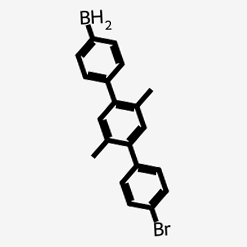 Bc1ccc(-c2cc(C)c(-c3ccc(Br)cc3)cc2C)cc1